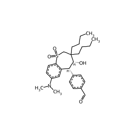 CCCCC1(CCCC)CS(=O)(=O)c2ccc(N(C)C)cc2[C@@H](c2ccc(C=O)cc2)[C@H]1O